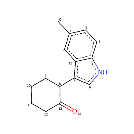 Cc1ccc2[nH]cc(C3CCCCC3=O)c2c1